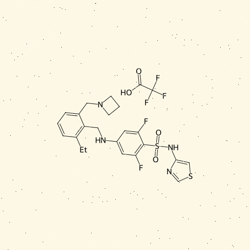 CCc1cccc(CN2CCC2)c1CNc1cc(F)c(S(=O)(=O)Nc2cscn2)c(F)c1.O=C(O)C(F)(F)F